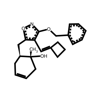 C[C@@]1(O)CC=CC[C@H]1Cc1onc(OCc2ccccc2)c1C=C1CCC1